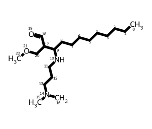 CCCCCCCCCC(NCCCN(C)C)C(C=O)COC